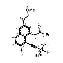 COCOc1cc(OC(=O)C(C)(C)C)c2c(C#C[Si](C(C)C)(C(C)C)C(C)C)c(F)ccc2c1